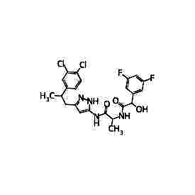 CC(NC(=O)C(O)c1cc(F)cc(F)c1)C(=O)Nc1cc(CC(C)c2ccc(Cl)c(Cl)c2)n[nH]1